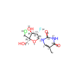 Cc1cn([C@@H]2O[C@@](CO)(CCl)[C@@H](O)[C@@H]2F)c(=O)[nH]c1=O